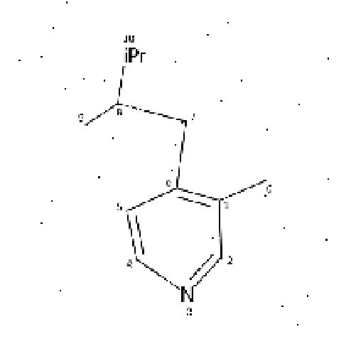 Cc1cnccc1CC(C)C(C)C